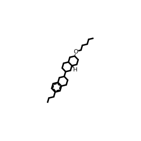 CCCCCO[C@@H]1CC[C@@H]2CC(C3CCc4cc(CCC)ccc4C3)CCC2C1